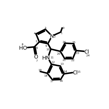 CCn1ccc(C(=O)O)c1C(Nc1cc(Cl)ccc1C)c1ccc(Cl)cc1